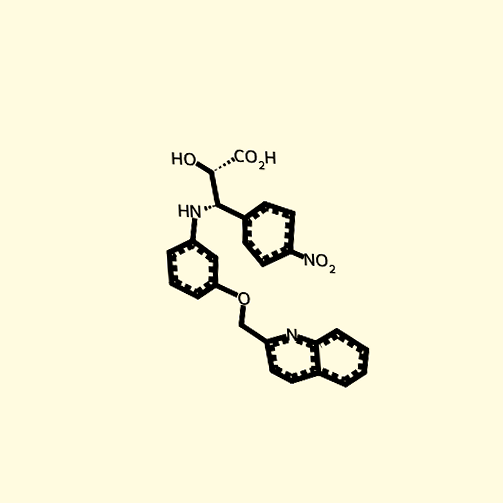 O=C(O)[C@@H](O)[C@@H](Nc1cccc(OCc2ccc3ccccc3n2)c1)c1ccc([N+](=O)[O-])cc1